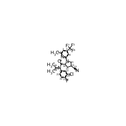 Cc1cc(C(F)(F)F)cc(N2CC(C#N)CC2C(=O)N(c2ccc(F)c(Cl)c2)C(C)C)n1